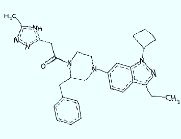 CCc1nn(C2CCC2)c2cc(N3CCN(C(=O)Cc4nnc(C)[nH]4)C(Cc4ccccc4)C3)ccc12